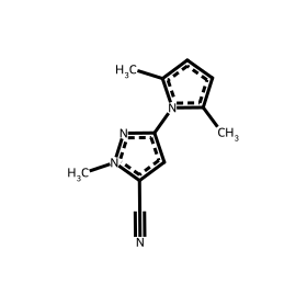 Cc1ccc(C)n1-c1cc(C#N)n(C)n1